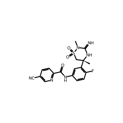 CN1C(=N)N[C@](C)(c2cc(NC(=O)c3ccc(C#N)cn3)ccc2F)CS1(=O)=O